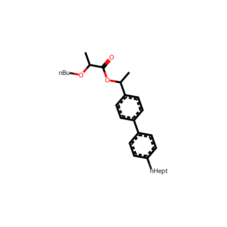 CCCCCCCc1ccc(-c2ccc(C(C)OC(=O)C(C)OCCCC)cc2)cc1